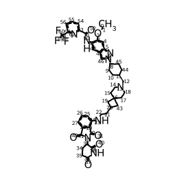 CCOc1cc2nn([C@H]3CC[C@H](CN4CCC5(CC4)CC(CCNc4cccc6c4C(=O)N(C4CCC(=O)NC4=O)C6=O)C5)CC3)cc2cc1NC(=O)c1cccc(C(F)(F)F)n1